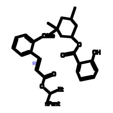 CC1CC(OC(=O)c2ccccc2O)CC(C)(C)C1.CCCCCC(CC)OC(=O)/C=C/c1ccccc1OC